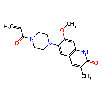 C=CC(=O)N1CCN(c2cc3cc(C)c(=O)[nH]c3cc2OC)CC1